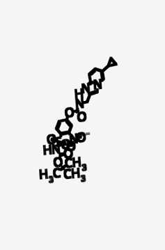 CC(C)(C)OC(=O)NS(=O)(=O)c1ccc(OC(=O)NCc2cn3cc(C4CC4)ccc3n2)cc1[N+](=O)[O-]